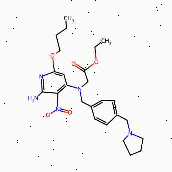 CCCCOc1cc(N(CC(=O)OCC)Cc2ccc(CN3CCCC3)cc2)c([N+](=O)[O-])c(N)n1